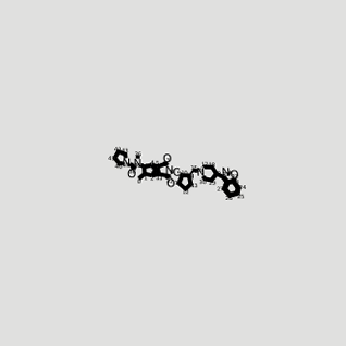 CC1C2CC(C3C(=O)N(CC4CCC[C@@H]4CN4CCC(c5noc6ccccc56)CC4)C(=O)C23)C1N(C)C(=O)N1CCCC1